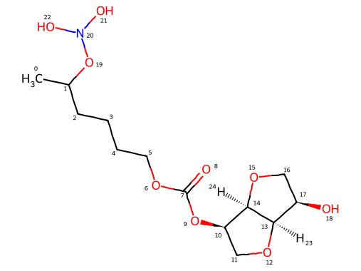 CC(CCCCOC(=O)O[C@@H]1CO[C@H]2[C@@H]1OC[C@H]2O)ON(O)O